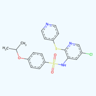 CC(C)Oc1ccc(S(=O)(=O)Nc2cc(Cl)cnc2Sc2ccncc2)cc1